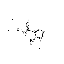 CCOC(=O)c1ccccc1.[Pd]